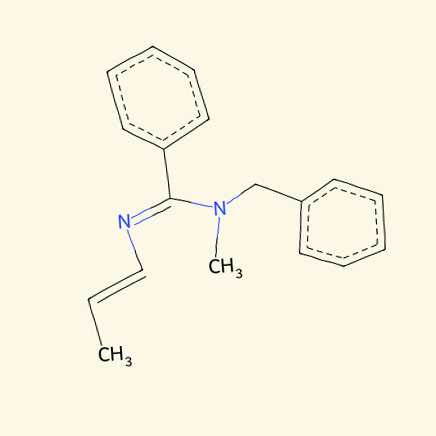 CC=C/N=C(/c1ccccc1)N(C)Cc1ccccc1